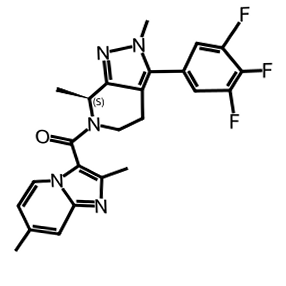 Cc1ccn2c(C(=O)N3CCc4c(nn(C)c4-c4cc(F)c(F)c(F)c4)[C@@H]3C)c(C)nc2c1